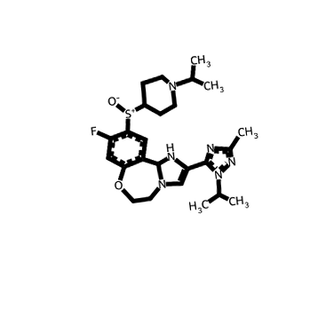 Cc1nc(C2=CN3CCOc4cc(F)c([S+]([O-])C5CCN(C(C)C)CC5)cc4C3N2)n(C(C)C)n1